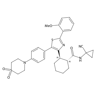 COc1ccccc1-c1nc([C@@H]2CCCC[C@H]2C(=O)NC2(C#N)CC2)c(-c2ccc(N3CCS(=O)(=O)CC3)cc2)s1